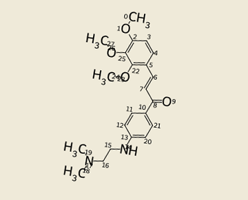 COc1ccc(C=CC(=O)c2ccc(NCCN(C)C)cc2)c(OC)c1OC